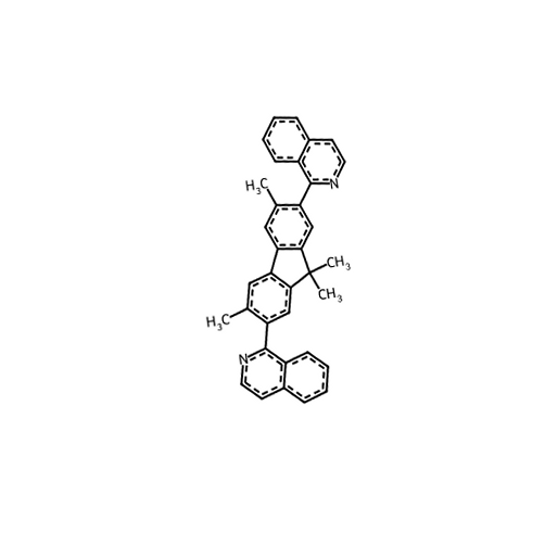 Cc1cc2c(cc1-c1nccc3ccccc13)C(C)(C)c1cc(-c3nccc4ccccc34)c(C)cc1-2